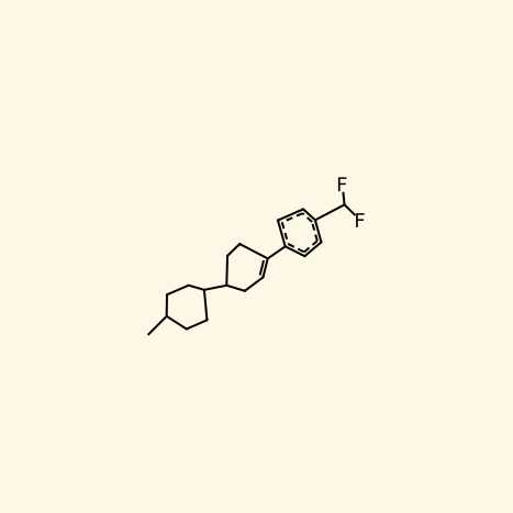 CC1CCC(C2CC=C(c3ccc(C(F)F)cc3)CC2)CC1